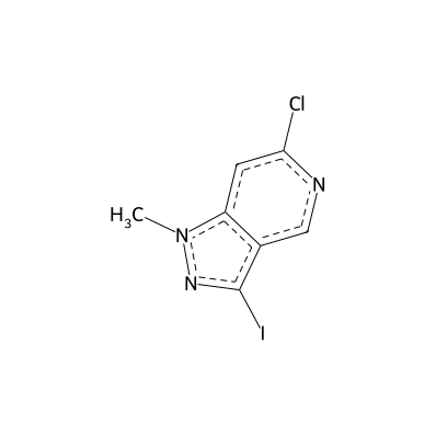 Cn1nc(I)c2cnc(Cl)cc21